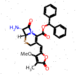 COC1=C(C)C(=O)O/C1=C/C1=C(C(=O)OC(c2ccccc2)c2ccccc2)N2C(=O)[C@@H](N)[C@H]2SC1